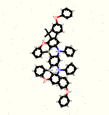 CC1(C)c2cc(Oc3ccccc3)ccc2-c2cc3c4c(c21)Oc1ccccc1B4c1cc2c(cc1N3c1ccccc1)N(c1ccccc1)c1c3c(cc4cc(Oc5ccccc5)ccc14)Oc1ccccc1B23